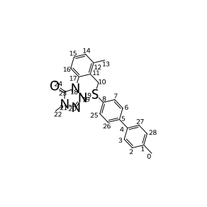 Cc1ccc(-c2ccc(SCc3c(C)cccc3-n3nnn(C)c3=O)cc2)cc1